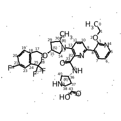 CCOc1ncccc1-c1ccc(N2C[C@@H](OCc3ccc(F)cc3C(F)(F)F)C[C@H]2C)c(C(=O)N[C@@H]2CCNC2)n1.O=CO